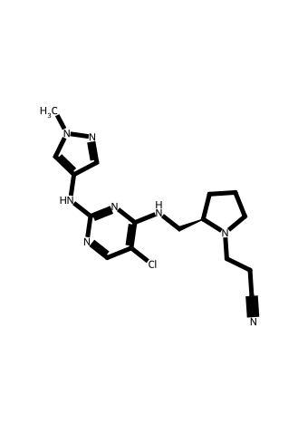 Cn1cc(Nc2ncc(Cl)c(NC[C@H]3CCCN3CCC#N)n2)cn1